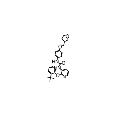 CC(C)(C)c1ccccc1Oc1ncccc1NC(=O)Nc1ccc(OCC2CCOC2)cc1